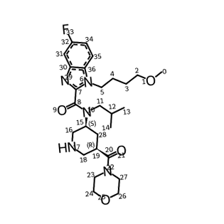 COCCCCn1c(C(=O)N(CC(C)C)[C@@H]2CNC[C@H](C(=O)N3CCOCC3)C2)nc2cc(F)ccc21